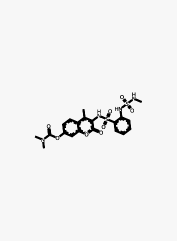 CNS(=O)(=O)Nc1ccccc1S(=O)(=O)Nc1c(C)c2ccc(OC(=O)N(C)C)cc2oc1=O